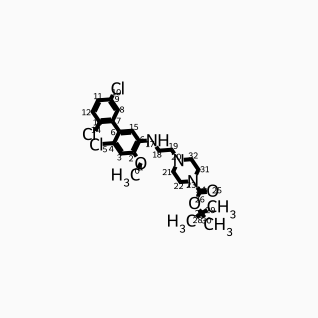 COc1cc(Cl)c(-c2cc(Cl)ccc2Cl)cc1NCCN1CCN(C(=O)OC(C)(C)C)CC1